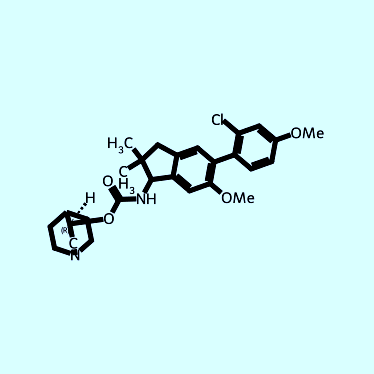 COc1ccc(-c2cc3c(cc2OC)C(NC(=O)O[C@H]2CN4CCC2CC4)C(C)(C)C3)c(Cl)c1